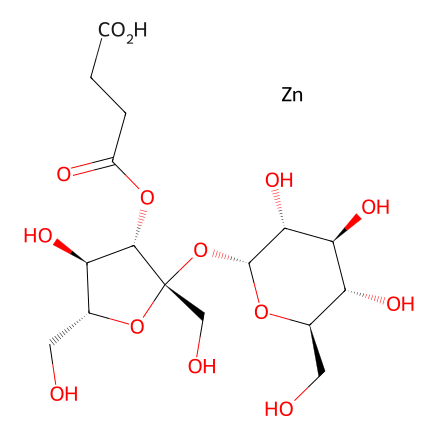 O=C(O)CCC(=O)O[C@H]1[C@H](O)[C@@H](CO)O[C@@]1(CO)O[C@H]1O[C@H](CO)[C@@H](O)[C@H](O)[C@H]1O.[Zn]